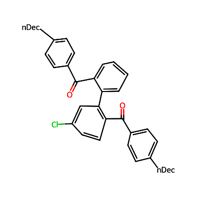 CCCCCCCCCCc1ccc(C(=O)c2ccccc2-c2cc(Cl)ccc2C(=O)c2ccc(CCCCCCCCCC)cc2)cc1